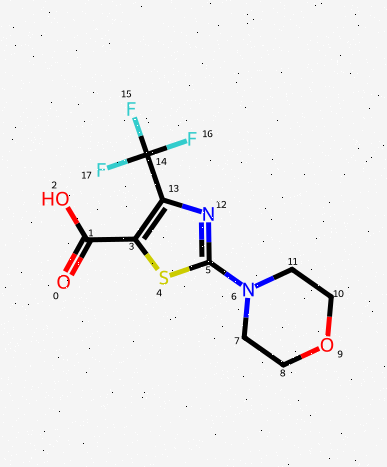 O=C(O)c1sc(N2CCOCC2)nc1C(F)(F)F